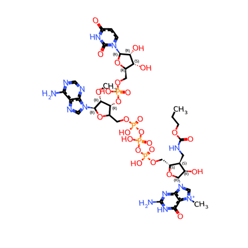 CCCOC(=O)NC[C@H]1[C@@H](O)[C@H](n2c[n+](C)c3c(=O)[nH]c(N)nc32)O[C@@H]1COP(=O)(O)OP(=O)(O)OP(=O)(O)OCC1O[C@@H](n2cnc3c(N)ncnc32)[C@H](OC)[C@@H]1OP(=O)(O)OC[C@H]1O[C@@H](n2ccc(=O)[nH]c2=O)[C@H](O)[C@@H]1O